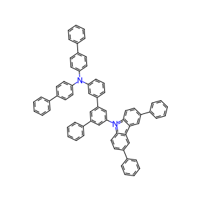 c1ccc(-c2ccc(N(c3ccc(-c4ccccc4)cc3)c3cccc(-c4cc(-c5ccccc5)cc(-n5c6ccc(-c7ccccc7)cc6c6cc(-c7ccccc7)ccc65)c4)c3)cc2)cc1